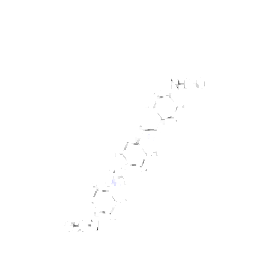 O=C=Nc1ccc(/C=C/c2ccc(/C=C/c3ccc(N=C=O)cc3)cc2)cc1